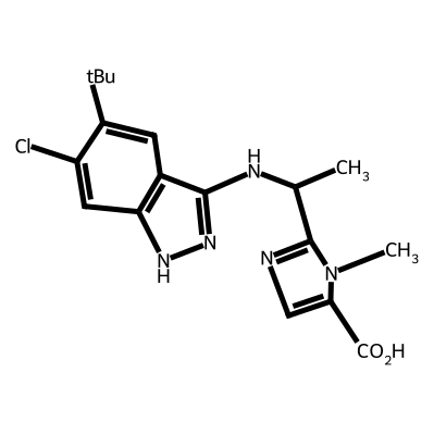 CC(Nc1n[nH]c2cc(Cl)c(C(C)(C)C)cc12)c1ncc(C(=O)O)n1C